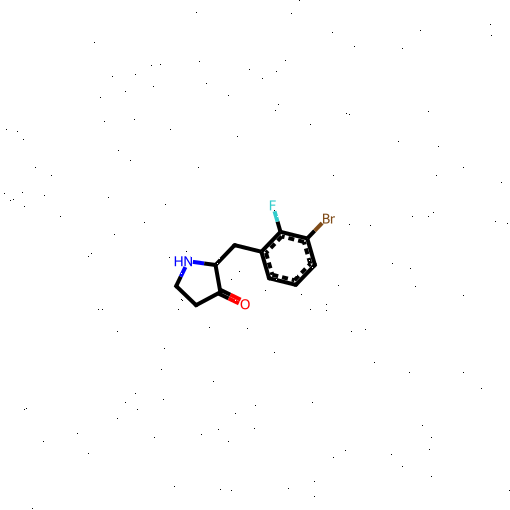 O=C1CCNC1Cc1cccc(Br)c1F